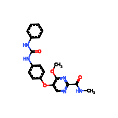 CNC(=O)c1ncc(Oc2ccc(NC(=O)Nc3ccccc3)cc2)c(OC)n1